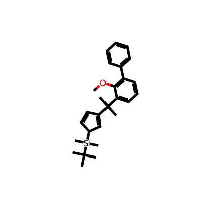 COc1c(-c2ccccc2)cccc1C(C)(C)C1=CC([Si](C)(C)C(C)(C)C)C=C1